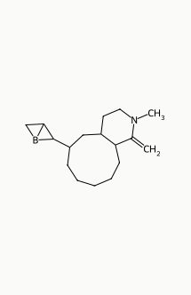 C=C1C2CCCCCC(C3B4CC43)CC2CCN1C